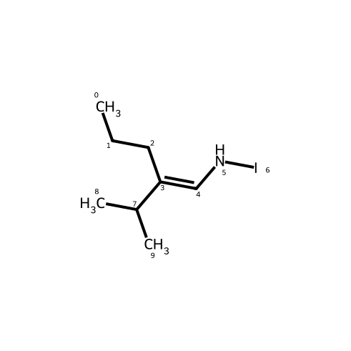 CCC/C(=C\NI)C(C)C